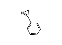 c1ccc(C2=NC2)cc1